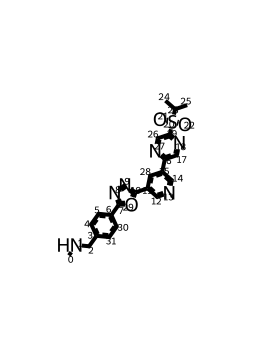 CNCc1ccc(-c2nnc(-c3cncc(-c4cnc(S(=O)(=O)C(C)C)cn4)c3)o2)cc1